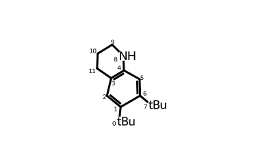 CC(C)(C)c1cc2c(cc1C(C)(C)C)NCCC2